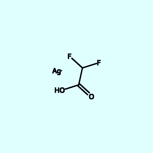 O=C(O)C(F)F.[Ag]